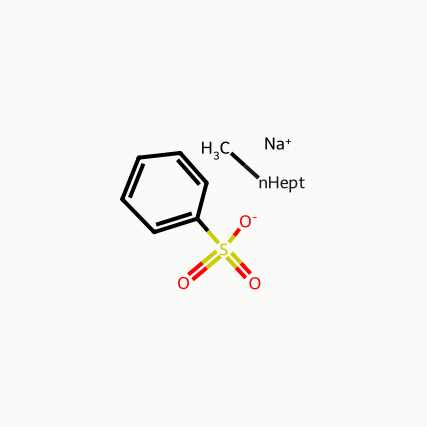 CCCCCCCC.O=S(=O)([O-])c1ccccc1.[Na+]